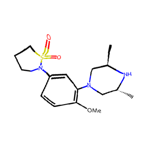 COc1ccc(N2CCCS2(=O)=O)cc1N1C[C@@H](C)N[C@H](C)C1